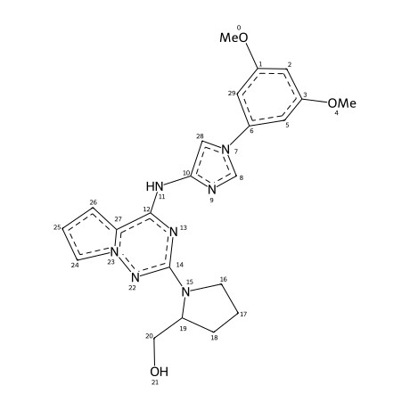 COc1cc(OC)cc(-n2cnc(Nc3nc(N4CCCC4CO)nn4cccc34)c2)c1